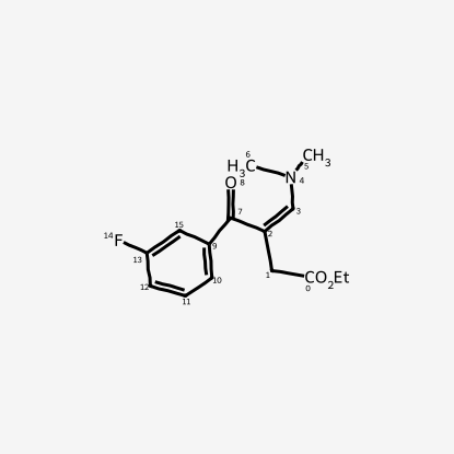 CCOC(=O)C/C(=C/N(C)C)C(=O)c1cccc(F)c1